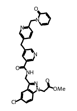 COC(=O)Cn1nc(CNC(=O)c2cncc(Cc3ccc(Cn4ccccc4=O)nc3)c2)c2cc(Cl)ccc21